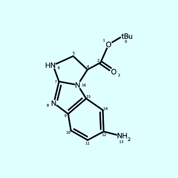 CC(C)(C)OC(=O)C1CNc2nc3ccc(N)cc3n21